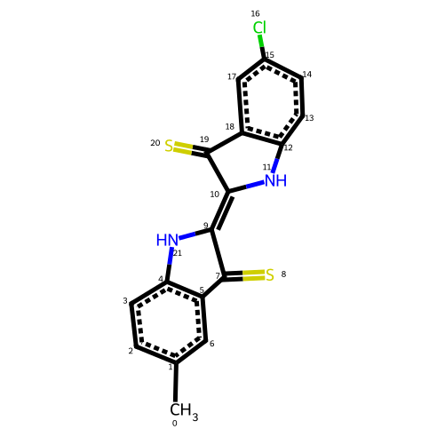 Cc1ccc2c(c1)C(=S)/C(=C1\Nc3ccc(Cl)cc3C1=S)N2